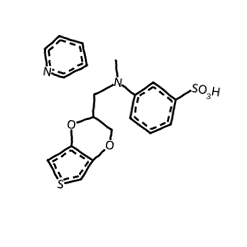 CN(CC1COc2cscc2O1)c1cccc(S(=O)(=O)O)c1.c1ccncc1